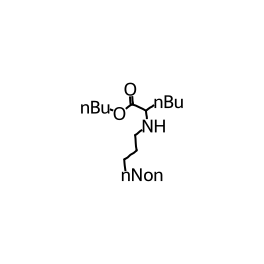 CCCCCCCCCCCCNC(CCCC)C(=O)OCCCC